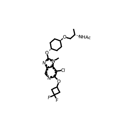 CC(=O)N[C@@H](C)CO[C@H]1CC[C@H](Oc2nc3cnc(OC4CC(F)(F)C4)c(Cl)c3n2C)CC1